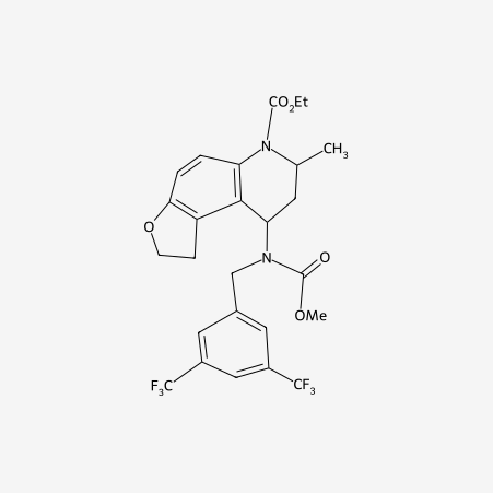 CCOC(=O)N1c2ccc3c(c2C(N(Cc2cc(C(F)(F)F)cc(C(F)(F)F)c2)C(=O)OC)CC1C)CCO3